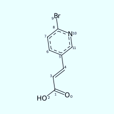 O=C(O)/C=C/c1ccc(Br)nc1